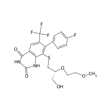 COCCO[C@H](CO)CSc1c(-c2ccc(F)cc2)c(C(F)(F)F)cc2c(=O)[nH]c(=O)[nH]c12